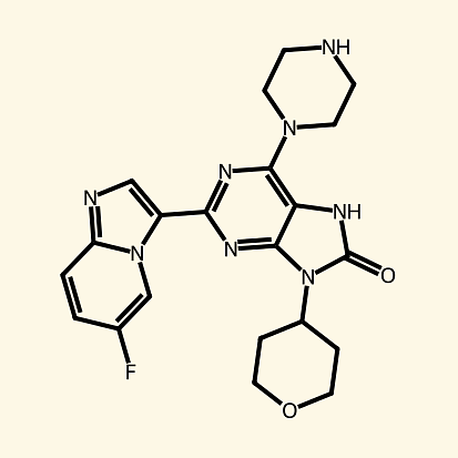 O=c1[nH]c2c(N3CCNCC3)nc(-c3cnc4ccc(F)cn34)nc2n1C1CCOCC1